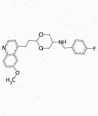 COc1ccc2nccc(CCC3OCC(NCc4ccc(F)cc4)CO3)c2c1